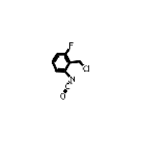 O=C=Nc1cccc(F)c1CCl